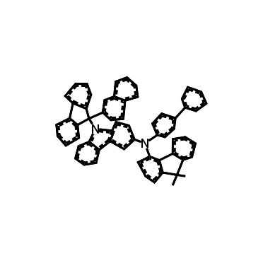 CC1(C)c2ccccc2-c2c(N(c3ccc(-c4ccccc4)cc3)c3ccc4c(c3)c3ccccc3n4C3(c4ccc5ccccc5c4)c4ccccc4-c4ccccc43)cccc21